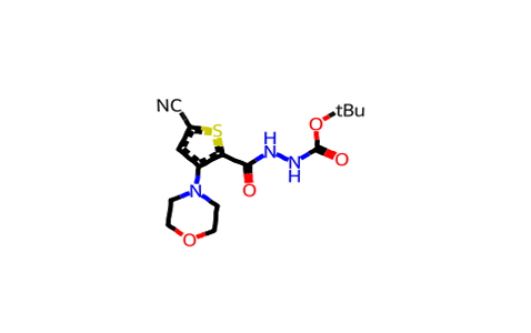 CC(C)(C)OC(=O)NNC(=O)c1sc(C#N)cc1N1CCOCC1